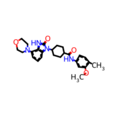 COc1cc(NC(=O)C2CCC(n3c(=O)[nH]c4c(N5CCOCC5)cccc43)CC2)ccc1C